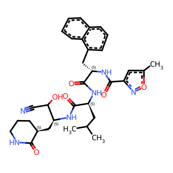 Cc1cc(C(=O)N[C@@H](Cc2cccc3ccccc23)C(=O)N[C@@H](CC(C)C)C(=O)N[C@@H](C[C@@H]2CCCNC2=O)C(O)C#N)no1